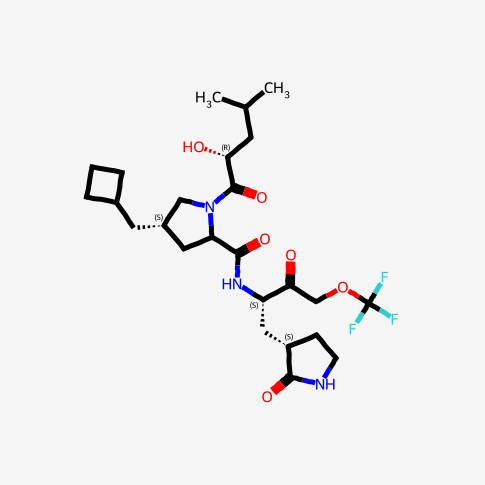 CC(C)C[C@@H](O)C(=O)N1C[C@@H](CC2CCC2)CC1C(=O)N[C@@H](C[C@@H]1CCNC1=O)C(=O)COC(F)(F)F